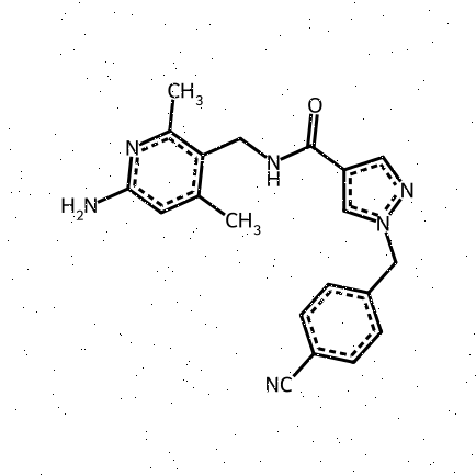 Cc1cc(N)nc(C)c1CNC(=O)c1cnn(Cc2ccc(C#N)cc2)c1